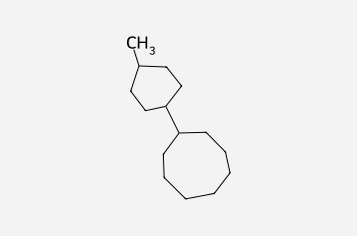 CC1CCC(C2CCCCCCC2)CC1